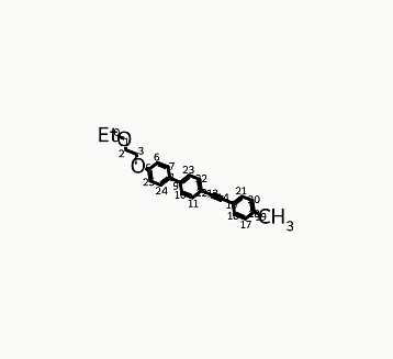 CCOCCOc1ccc(-c2ccc(C#Cc3ccc(C)cc3)cc2)cc1